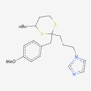 CCCCC1CCSC(CCCn2ccnc2)(Cc2ccc(OC)cc2)S1